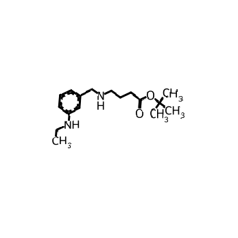 CCNc1cccc(CNCCCC(=O)OC(C)(C)C)c1